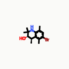 Cc1cc(Br)c(C)c2c1NC(C)(C)[C@@H](O)[C@@H]2C